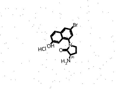 Cl.N[C@@H]1CCN(c2cc(Br)cc3ccc(O)cc23)C1=O